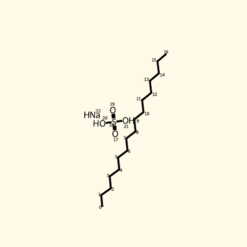 CCCCCCCCCCCCCCCCC.O=S(=O)(O)O.[NaH]